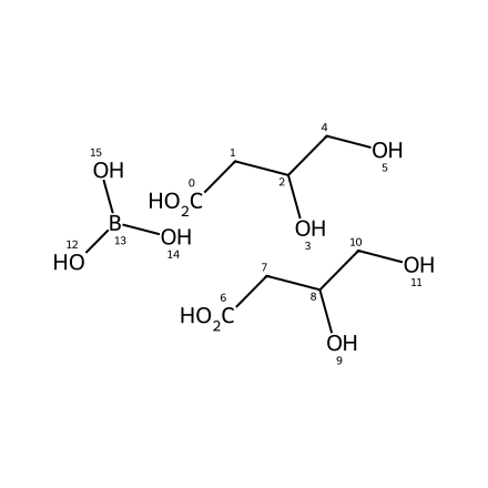 O=C(O)CC(O)CO.O=C(O)CC(O)CO.OB(O)O